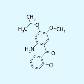 COc1cc(C(=O)c2ccccc2Cl)c(N)cc1OC(C)C